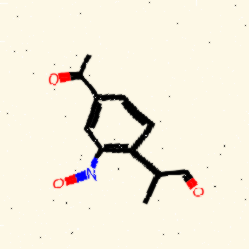 CC(=O)c1ccc(C(C)C=O)c(N=O)c1